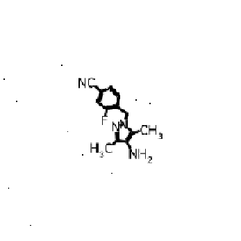 Cc1nn(Cc2ccc(C#N)cc2F)c(C)c1N